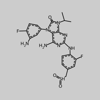 CC(C)n1c(=O)n(-c2ccc(F)c(N)c2)c2c(N)nc(Nc3ccc(C[SH](=O)=O)cc3F)nc21